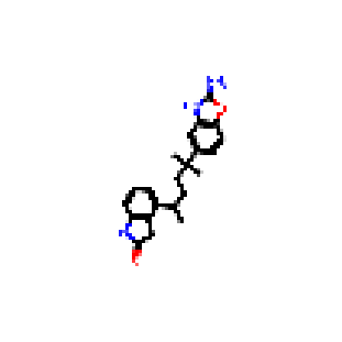 CC(CCC(C)(C)c1ccc2c(c1)NC(N)O2)c1cccc2c1CC(=O)N2